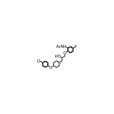 CC(=O)Nc1cc(F)ccc1OCC(O)CN1CCC(Oc2ccc(Cl)cc2)CC1